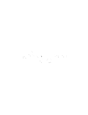 C=C/C(=C\C=C1/CN(C)C(CC)(Cc2ccc(C(C)C(=O)N3CCNCC3)cc2)C1=O)N1CCNCC1